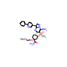 COCCO[C@]1(C(N)=O)CC[C@H](c2nc3c(-c4ccc(-c5ccccc5)nc4)cnn3c(N)c2S(C)(=O)=O)CC1